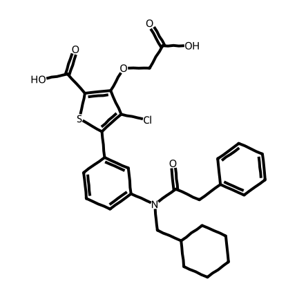 O=C(O)COc1c(C(=O)O)sc(-c2cccc(N(CC3CCCCC3)C(=O)Cc3ccccc3)c2)c1Cl